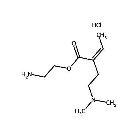 CC=C(CCN(C)C)C(=O)OCCN.Cl